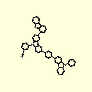 N#Cc1cccc(-n2c3ccc(-c4ccc(-c5ccc6c(c5)C5C=CC=CC5N6c5ccccc5)cc4)cc3c3cc(-c4cccc5c4sc4ccccc45)ccc32)c1